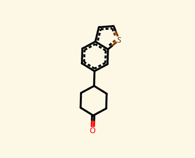 O=C1CCC(c2ccc3ccsc3c2)CC1